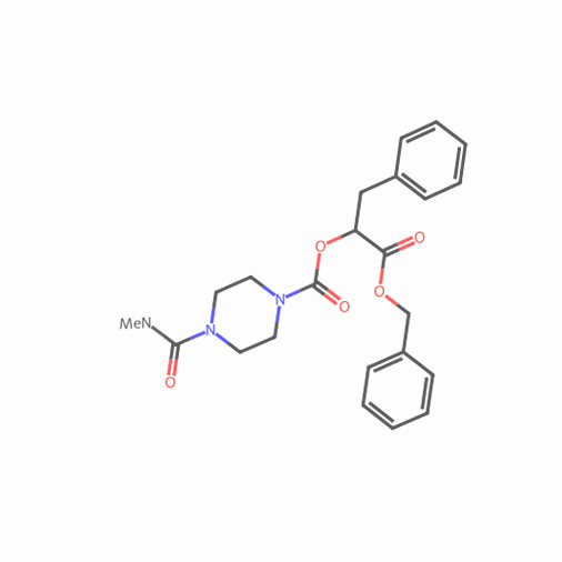 CNC(=O)N1CCN(C(=O)OC(Cc2ccccc2)C(=O)OCc2ccccc2)CC1